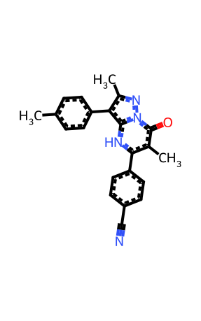 Cc1ccc(-c2c(C)nn3c(=O)c(C)c(-c4ccc(C#N)cc4)[nH]c23)cc1